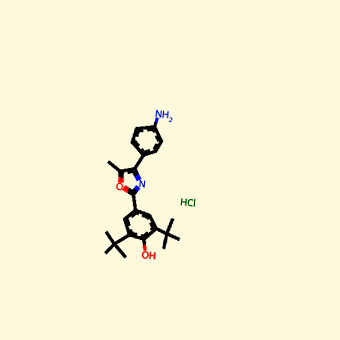 Cc1oc(-c2cc(C(C)(C)C)c(O)c(C(C)(C)C)c2)nc1-c1ccc(N)cc1.Cl